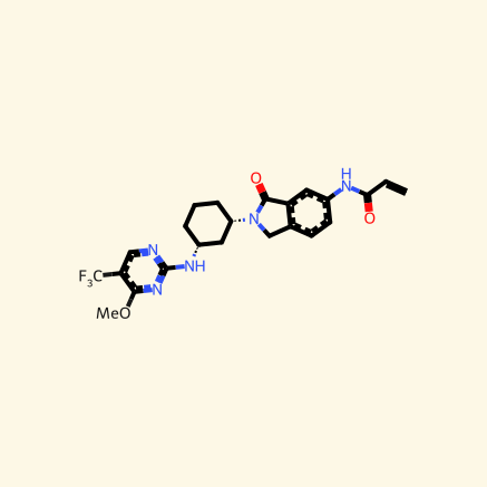 C=CC(=O)Nc1ccc2c(c1)C(=O)N([C@H]1CCC[C@@H](Nc3ncc(C(F)(F)F)c(OC)n3)C1)C2